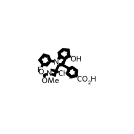 COC(=O)N1CC(C)(c2c(-c3ccc(C(=O)O)cc3)c3c(O)cccc3n2-c2cccc(F)c2)C1